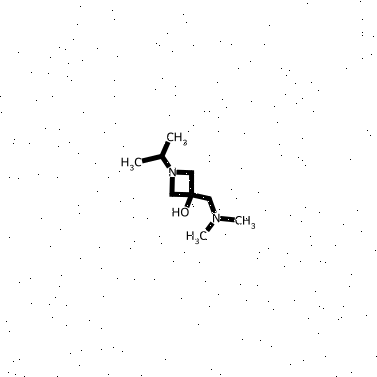 CC(C)N1CC(O)(CN(C)C)C1